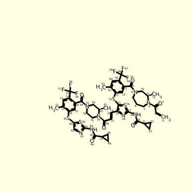 C=CC(=O)N1CCCN(C(=O)c2cc(Sc3sc(NC(=O)C4CC4)nc3C=CC(=O)N3CCN(C(=O)c4cc(Sc5cnc(NC(=O)C6CC6)s5)c(C)cc4C(F)(F)F)C[C@H]3C)c(C)cc2C(F)(F)F)C[C@H]1C